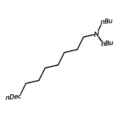 CCCCCCCCCCCCCCCCCN(CCCC)CCCC